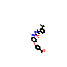 CC(=O)c1ccc(O[C@H]2CC[C@H](NC(=O)NC(C)(C)c3cccc(C(C)C)c3)CC2)cc1